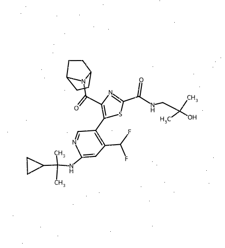 CC(C)(O)CNC(=O)c1nc(C(=O)N2C3CCC2CC3)c(-c2cnc(NC(C)(C)C3CC3)cc2C(F)F)s1